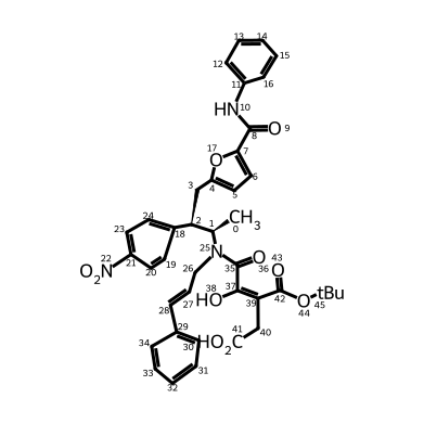 C[C@H]([C@H](Cc1ccc(C(=O)Nc2ccccc2)o1)c1ccc([N+](=O)[O-])cc1)N(C/C=C/c1ccccc1)C(=O)/C(O)=C(/CC(=O)O)C(=O)OC(C)(C)C